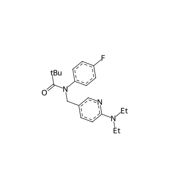 CCN(CC)c1ccc(CN(C(=O)C(C)(C)C)c2ccc(F)cc2)cn1